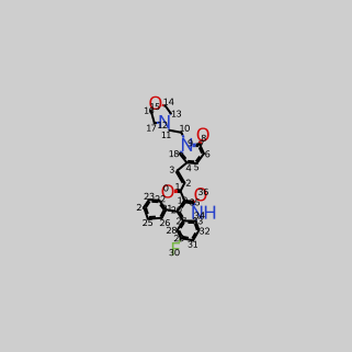 O=C(/C=C/c1ccc(=O)n(CCN2CCOCC2)c1)c1c(-c2ccccc2)c2cc(F)ccc2[nH]c1=O